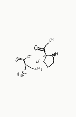 CC(C)C(=O)[O-].O=C(O)[C@@H]1CCCN1.[Li+]